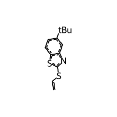 C=CSc1nc2cc(C(C)(C)C)ccc2s1